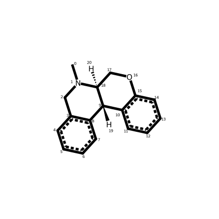 CN1Cc2ccccc2[C@H]2c3ccccc3OC[C@@H]21